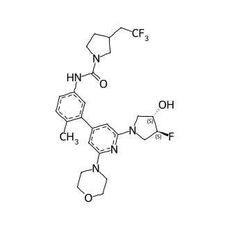 Cc1ccc(NC(=O)N2CCC(CC(F)(F)F)C2)cc1-c1cc(N2CCOCC2)nc(N2C[C@H](O)[C@@H](F)C2)c1